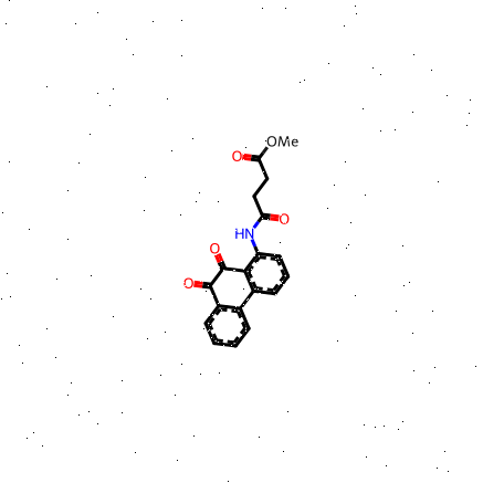 COC(=O)CCC(=O)Nc1cccc2c1C(=O)C(=O)c1ccccc1-2